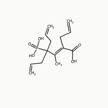 C=CCC(C(=O)O)=C(C)C(CC=C)(CC=C)P(=O)(O)O